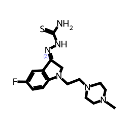 CN1CCN(CCN2C/C(=N\NC(N)=S)c3cc(F)ccc32)CC1